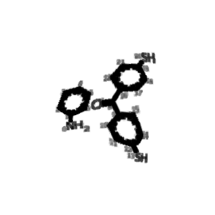 Nc1ccccc1.O=C(c1ccc(S)cc1)c1ccc(S)cc1